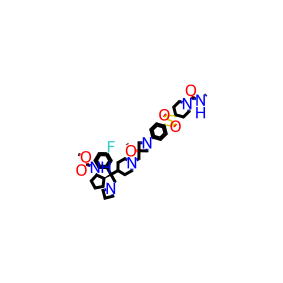 CNC(=O)N1CCC(S(=O)(=O)c2ccc(N3CC(CN4CCC(C(CN5CCC5)(c5cccc(F)c5)[C@H]5CCC[C@@H]5NC(=O)OC)CC4)(OC)C3)cc2)CC1